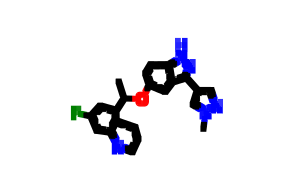 CC(Oc1ccc2[nH]nc(-c3cnn(C)c3)c2c1)c1cc(F)cc2ncccc12